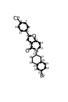 O=c1c2cc(-c3ccc(Cl)cc3)oc2ccn1C1CCc2cc(Br)ccc2C1